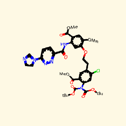 COC(=O)c1cc(OC)c(OCCc2cc(C(=O)OC)c(N(C(=O)OC(C)(C)C)C(=O)OC(C)(C)C)cc2Cl)cc1NC(=O)c1ccc(-n2ccnc2)nn1